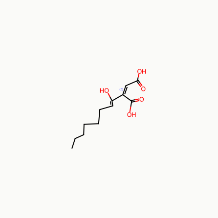 CCCCCCC=C(O)/C(=C/C(=O)O)C(=O)O